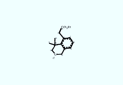 CCOC(=O)Cc1cccc2c1C(C)(C)COC2